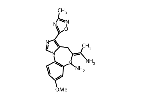 COc1ccc2c(c1)N(N)/C(=C(/C)N)Cc1c(-c3nc(C)no3)ncn1-2